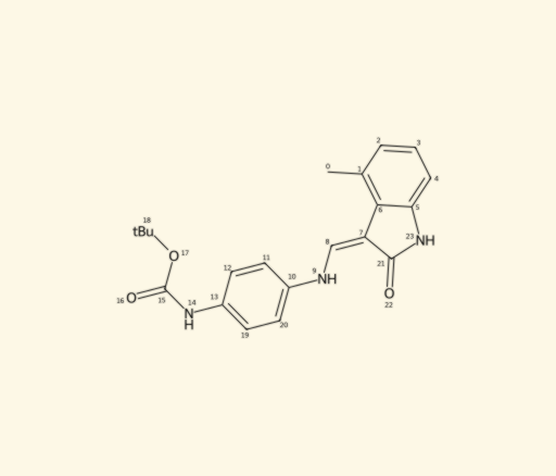 Cc1cccc2c1C(=CNc1ccc(NC(=O)OC(C)(C)C)cc1)C(=O)N2